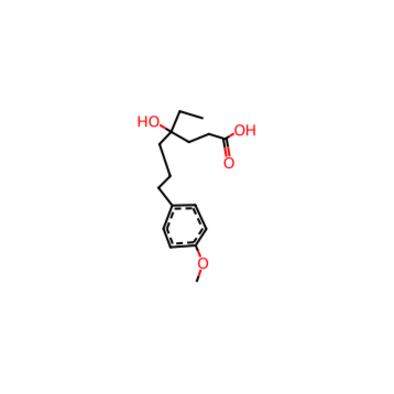 CCC(O)(CCCc1ccc(OC)cc1)CCC(=O)O